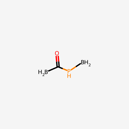 BPC(B)=O